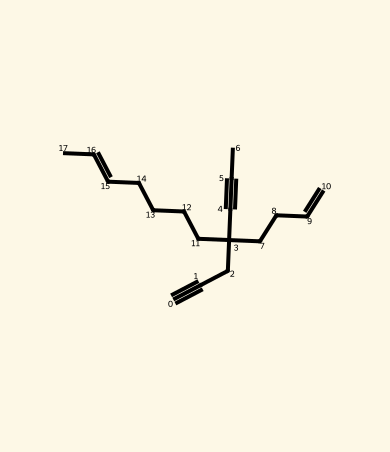 C#CCC(C#CC)(CCC=C)CCCCC=CC